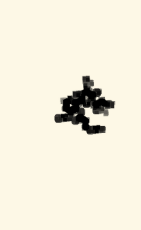 COCCC(=O)Oc1c(OC)ccnc1C(=O)NC(C)C(=O)OC(C)CC(C)C